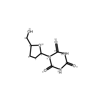 O=c1[nH]c(=O)n(C2CCC(CO)O2)c(=O)[nH]1